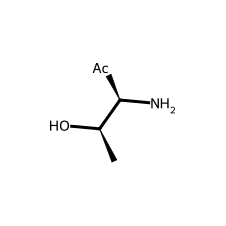 CC(=O)[C@@H](N)[C@@H](C)O